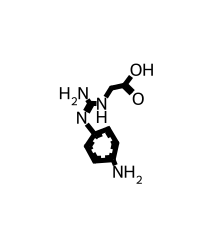 NC(=Nc1ccc(N)cc1)NCC(=O)O